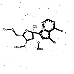 CCCCOC[C@H]1O[C@@](C#N)(c2cc(Br)c3c(N)ncnn23)[C@H](OCCCC)[C@@H]1OCCCC